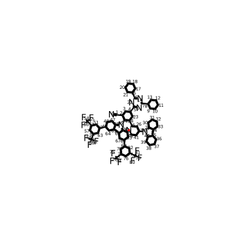 N#Cc1cc(-c2nc(-c3ccccc3)nc(-c3ccccc3)n2)cc(-c2cc(-n3c4ccccc4c4ccccc43)ccn2)c1-n1c2ccc(-c3cc(C(F)(F)F)cc(C(F)(F)F)c3)cc2c2cc(-c3cc(C(F)(F)F)cc(C(F)(F)F)c3)ccc21